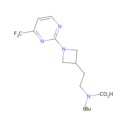 CC(C)(C)N(CCC1CN(c2nccc(C(F)(F)F)n2)C1)C(=O)O